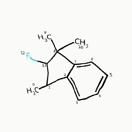 CC1c2ccccc2C(C)(C)C1F